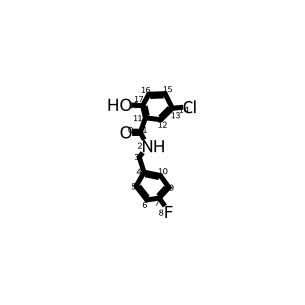 O=C(NCc1ccc(F)cc1)c1cc(Cl)ccc1O